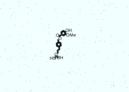 COc1cc(C(=O)OCc2ccc(CCCON(O)O)cc2)ccc1O